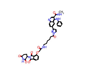 CNC(=O)c1cnc2ccc(-c3ccn(C(=O)CCCCCNC(=O)COc4cccc5c4C(=O)N(C4CCC(=O)NC4=O)C5=O)n3)cc2c1Nc1ccccc1